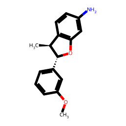 COc1cccc([C@H]2Oc3cc(N)ccc3[C@@H]2C)c1